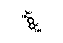 CC(=O)Nc1ccc2c(Cl)c(O)ccc2c1